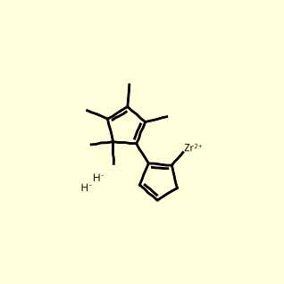 CC1=C(C)C(C)(C)C(C2=[C]([Zr+2])CC=C2)=C1C.[H-].[H-]